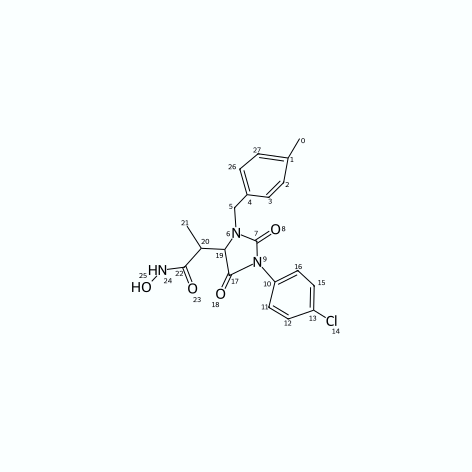 Cc1ccc(CN2C(=O)N(c3ccc(Cl)cc3)C(=O)C2C(C)C(=O)NO)cc1